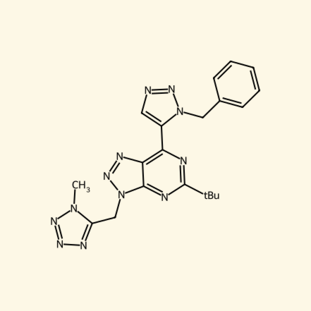 Cn1nnnc1Cn1nnc2c(-c3cnnn3Cc3ccccc3)nc(C(C)(C)C)nc21